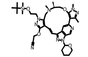 Cc1nn(C)c2c1-c1cc3c(nn(C4CCCCO4)c3cn1)/C=C/c1c(OCC#N)nn(CCO[Si](C)(C)C(C)(C)C)c1CN(C)[C@@H](C)CO2